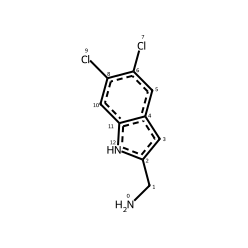 NCc1cc2cc(Cl)c(Cl)cc2[nH]1